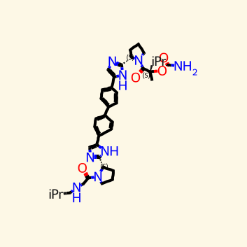 CC(C)CNCC(=O)N1CCC[C@H]1c1ncc(-c2ccc(-c3ccc(-c4cnc([C@@H]5CCCN5C(=O)[C@@](C)(OC(N)=O)C(C)C)[nH]4)cc3)cc2)[nH]1